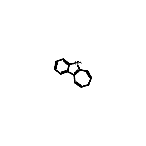 C1=Cc2[nH]c3ccccc3c2C=CC1